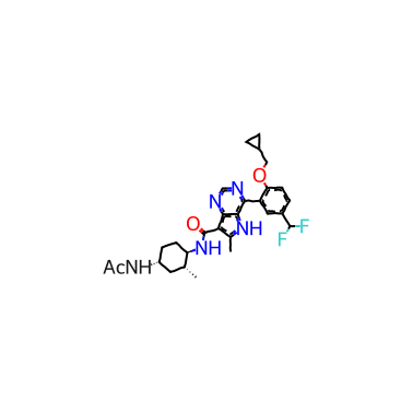 CC(=O)N[C@@H]1CC[C@@H](NC(=O)c2c(C)[nH]c3c(-c4cc(C(F)F)ccc4OCC4CC4)ncnc23)[C@H](C)C1